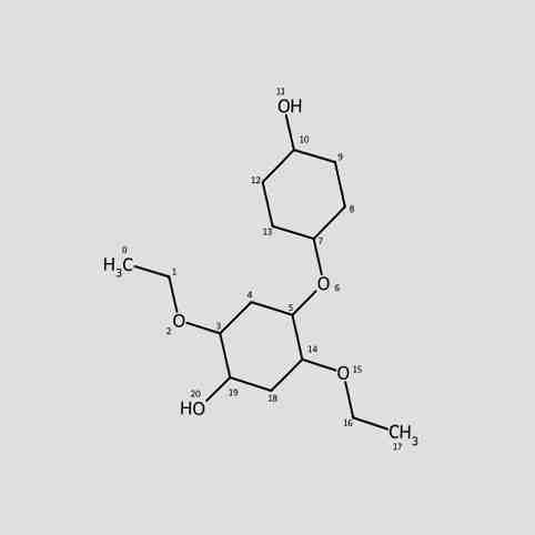 CCOC1CC(OC2CCC(O)CC2)C(OCC)CC1O